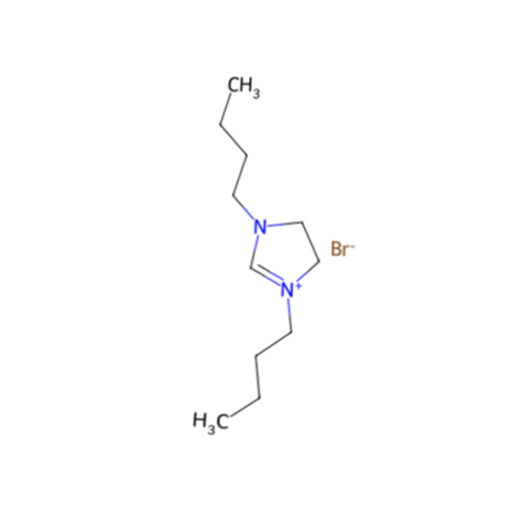 CCCCN1C=[N+](CCCC)CC1.[Br-]